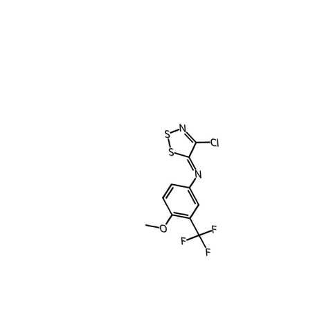 COc1ccc(/N=c2\ssnc2Cl)cc1C(F)(F)F